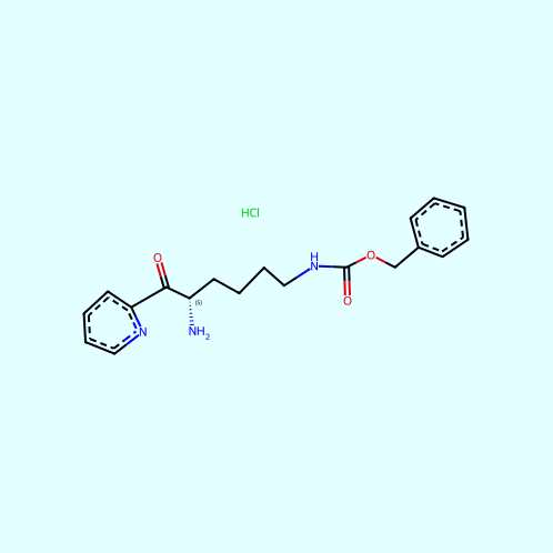 Cl.N[C@@H](CCCCNC(=O)OCc1ccccc1)C(=O)c1ccccn1